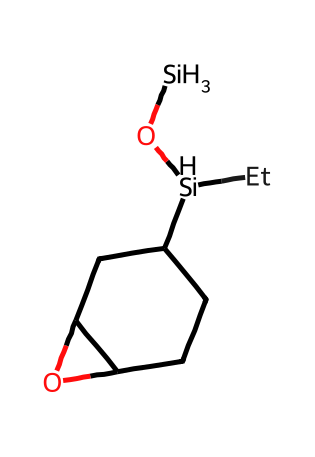 CC[SiH](O[SiH3])C1CCC2OC2C1